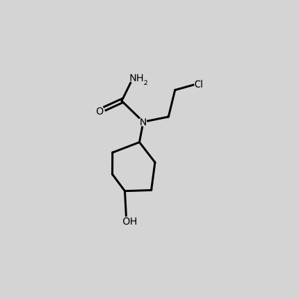 NC(=O)N(CCCl)C1CCC(O)CC1